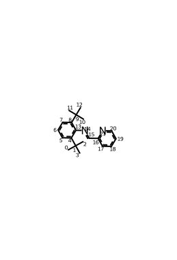 CC(C)(C)c1cccc(C(C)(C)C)c1N=Cc1ccccn1